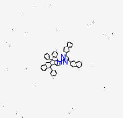 C1=C(c2ccc3ccccc3c2)NC(c2ccc3c(c2)C(c2ccccc2)(c2ccccc2)c2cc4ccccc4c(-c4ccccc4)c2-3)N=C1c1ccc2ccccc2c1